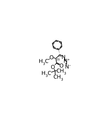 CO[C@H](C(=O)OC(C)(C)C)[C@@H](N=[N+]=[N-])c1ccccc1